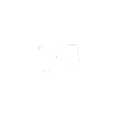 [CH2]CCCC1(CCC)OCCO1